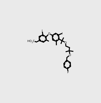 Cc1cc(CC(=O)O)cc(I)c1Oc1cc(C)c(C(C)(C)OCCC(C)(C)OCc2ccc(F)cc2)c(I)c1